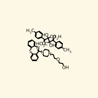 Cc1ccc(C(=O)C(O)(C(=O)O)C(O)(C(=O)O)C(=O)c2ccc(C)cc2)cc1.OCCOCCN1CCN(C2=Nc3ccccc3Sc3ccccc32)CC1